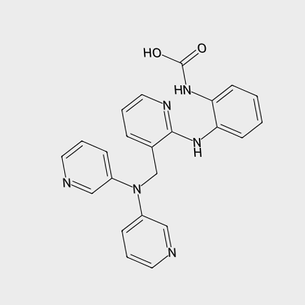 O=C(O)Nc1ccccc1Nc1ncccc1CN(c1cccnc1)c1cccnc1